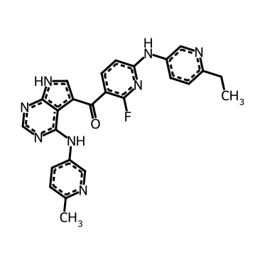 CCc1ccc(Nc2ccc(C(=O)c3c[nH]c4ncnc(Nc5ccc(C)nc5)c34)c(F)n2)cn1